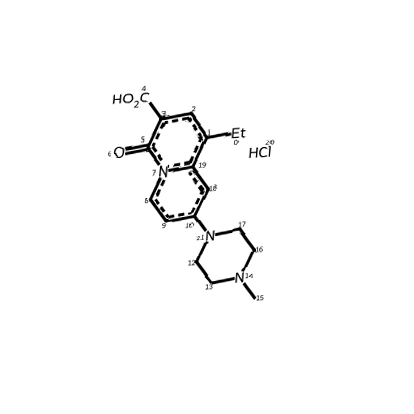 CCc1cc(C(=O)O)c(=O)n2ccc(N3CCN(C)CC3)cc12.Cl